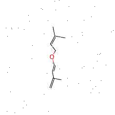 C=C(C)C=COCC=C(C)C